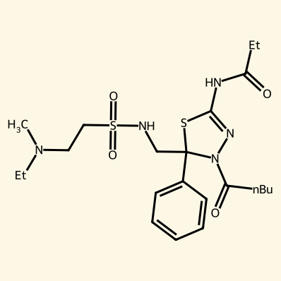 CCCCC(=O)N1N=C(NC(=O)CC)SC1(CNS(=O)(=O)CCN(C)CC)c1ccccc1